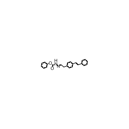 O=C(NN=CCc1ccc(C=Cc2ccccc2)cc1)Oc1ccccc1